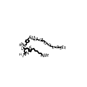 CCCN(Cc1ccc(CN(C)CCOCCOCCOCCOCCOCCOCCOCC)cc1)C(=O)C1=Cc2sc(CCCCCNC)cc2N=C(N)C1